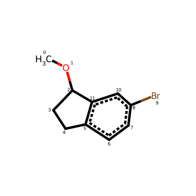 COC1CCc2ccc(Br)cc21